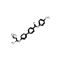 CCC[C@H](C)Oc1ccc(-c2ccc(C(=O)Oc3ccc(C)cc3)cc2)cc1